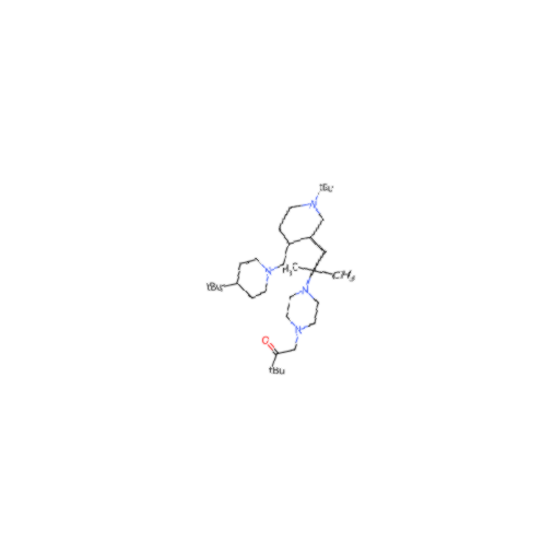 CC(C)(C)C(=O)CN1CCN(C(C)(C)CC2CN(C(C)(C)C)CCC2CN2CCC(C(C)(C)C)CC2)CC1